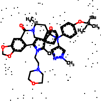 Cc1c(C(=O)N(c2ccc(O[Si](C)(C)C(C)(C)C)cc2)c2cnn(C)c2)cc(-c2cc3c(cc2C(=O)N2Cc4ccccc4C[C@H]2C)OCO3)n1CCN1CCOCC1